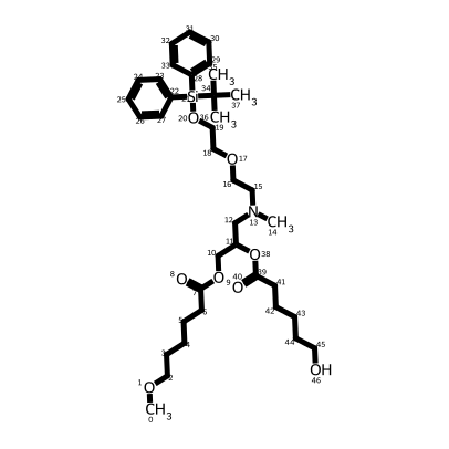 COCCCCCC(=O)OCC(CN(C)CCOCCO[Si](c1ccccc1)(c1ccccc1)C(C)(C)C)OC(=O)CCCCCO